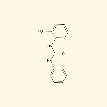 Cc1ccccc1NC(=O)Nc1c[c]ccc1